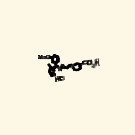 COc1cccc(/C(=N\OCCN2CCC[C@@H](C(=O)O)C2)c2sccc2C)c1.Cl